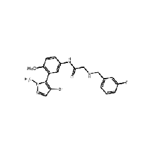 COc1ccc(NC(=O)CNCc2cccc(F)c2)cc1-c1c(Br)cnn1C